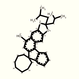 CC(C)CC1(CC(C)C)Oc2cc3c4c(cc(O)c3cc2S1)C1(CCCCCCC1)c1ccccc1-4